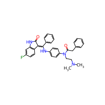 CN(C)CCN(C(=O)Cc1ccccc1)c1ccc(NC(=C2C(=O)Nc3cc(F)ccc32)c2ccccc2)cc1